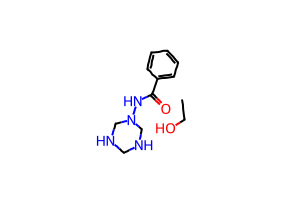 CCO.O=C(NN1CNCNC1)c1ccccc1